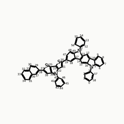 c1ccc(-n2c3ccccc3c3cc4c(cc32)c2cc(-c3cc5c(s3)c3sc(-c6ccc7ccccc7c6)cc3n5-c3ccccc3)ccc2n4-c2ccccc2)cc1